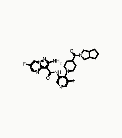 Nc1nn2cc(F)cnc2c1C(=O)Nc1cncc(F)c1N1CCC(C(=O)N2CC3CCCC3C2)CC1